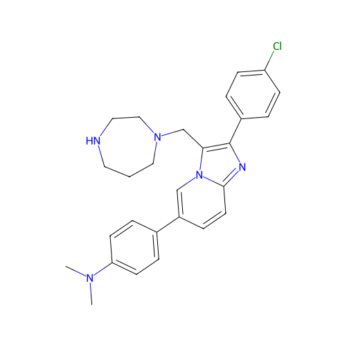 CN(C)c1ccc(-c2ccc3nc(-c4ccc(Cl)cc4)c(CN4CCCNCC4)n3c2)cc1